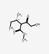 CC[C@H](C)C(C(=O)CO)C(=O)OC